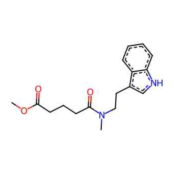 COC(=O)CCCC(=O)N(C)CCc1c[nH]c2ccccc12